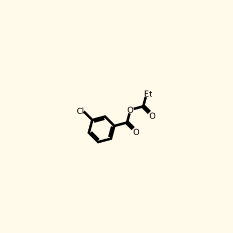 CCC(=O)OC(=O)c1cccc(Cl)c1